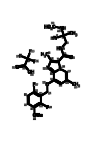 CCCC(C)(CNC(=O)c1c(C)nc2c(OCc3c(F)ccc(OC)c3F)cc(C)cn12)NC(=O)O.O=C(O)C(F)(F)F